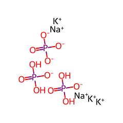 O=P([O-])(O)O.O=P([O-])(O)O.O=P([O-])([O-])[O-].[K+].[K+].[K+].[Na+].[Na+]